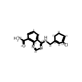 NC(=O)c1cccc2c(NCC3=CC(Cl)=CCC3)ncnc12